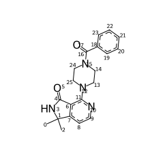 CC1(C)NC(=O)c2c1ccnc2N1CCN(C(=O)c2ccccc2)CC1